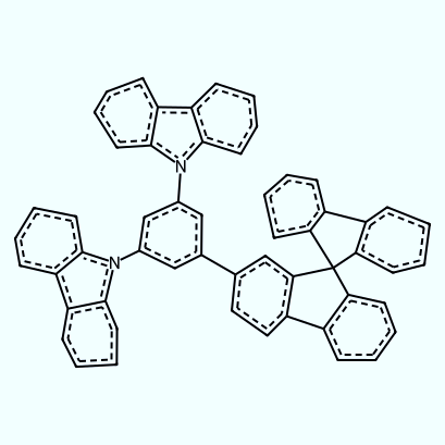 c1ccc2c(c1)-c1ccccc1C21c2ccccc2-c2ccc(-c3cc(-n4c5ccccc5c5ccccc54)cc(-n4c5ccccc5c5ccccc54)c3)cc21